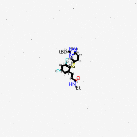 CCNC(=O)C=Cc1cc(F)cc(F)c1Sc1ccc2nnc(C(C)(C)C)n2c1